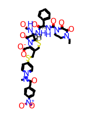 CCN1CCN(C(=O)N[C@@H](C(=O)N[C@]2(NC=O)C(=O)N3C(C(=O)[O-])=C(CSc4cc[n+](N(C)C(=O)c5ccc([N+](=O)[O-])cc5)cc4)CS[C@@H]32)c2ccccc2)C(=O)C1=O